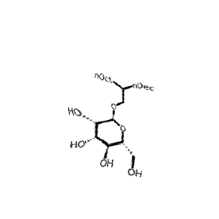 CCCCCCCCCCC(CCCCCCCC)CO[C@H]1O[C@H](CO)[C@@H](O)[C@H](O)[C@@H]1O